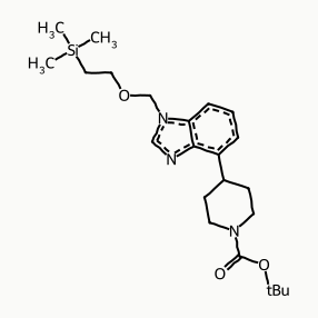 CC(C)(C)OC(=O)N1CCC(c2cccc3c2ncn3COCC[Si](C)(C)C)CC1